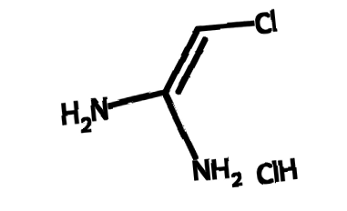 Cl.NC(N)=CCl